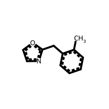 Cc1ccccc1Cc1ncco1